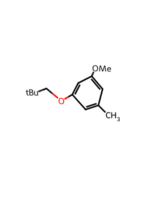 COc1cc(C)cc(OCC(C)(C)C)c1